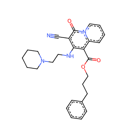 N#Cc1c(NCCN2CCCCC2)c(C(=O)OCCCc2ccccc2)c2ccccn2c1=O